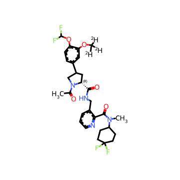 [2H]C([2H])([2H])Oc1cc(C2C[C@H](C(=O)NCc3cccnc3C(=O)N(C)C3CCC(F)(F)CC3)N(C(C)=O)C2)ccc1OC(F)F